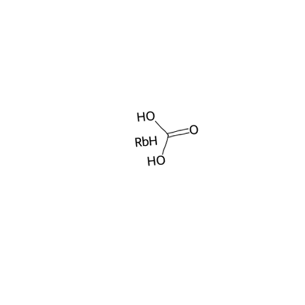 O=C(O)O.[RbH]